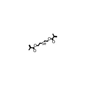 C=C(C)C(=O)OCC[Se]CCOC(=O)C(=C)C